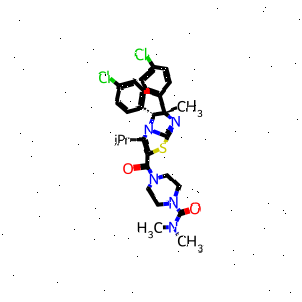 CC(C)C1=C(C(=O)N2CCN(C(=O)N(C)C)CC2)SC2=N[C@@](C)(c3ccc(Cl)cc3)[C@@H](c3ccc(Cl)cc3)N21